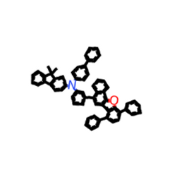 CC1(C)c2ccccc2-c2ccc(N(c3ccc(-c4ccccc4)cc3)c3cccc(-c4cc5c(oc6c(-c7ccccc7)ccc(-c7ccccc7)c65)c5ccccc45)c3)cc21